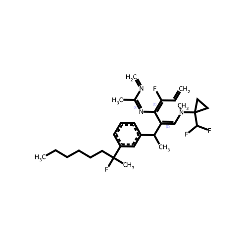 C=C/C(F)=C(/N=C(/C)N=C)C(=C/N(C)C1(C(F)F)CC1)\C(C)c1cccc(C(C)(F)CCCCCC)c1